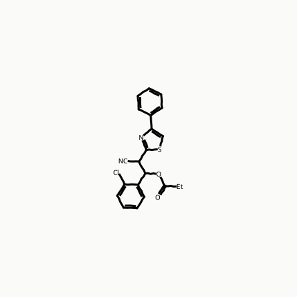 CCC(=O)OC(c1ccccc1Cl)C(C#N)c1nc(-c2ccccc2)cs1